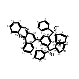 O=P(c1ccccc1)(c1ccccc1)c1cc(-c2cc3nc4ccccc4nc3c3ccccc23)cc(P(=O)(c2ccccc2)c2ccccc2)c1